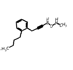 CCCCc1ccccc1CC#CBONC